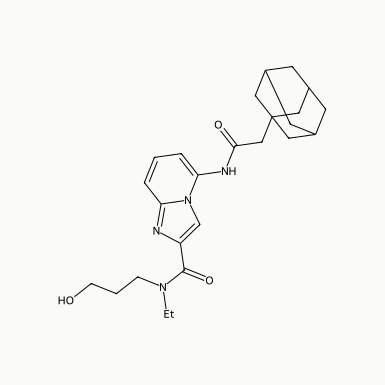 CCN(CCCO)C(=O)c1cn2c(NC(=O)CC34CC5CC(CC(C5)C3)C4)cccc2n1